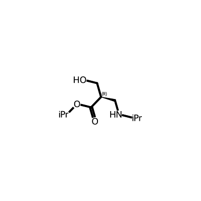 CC(C)NC[C@H](CO)C(=O)OC(C)C